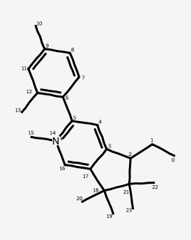 CCC1c2cc(-c3ccc(C)cc3C)[n+](C)cc2C(C)(C)C1(C)C